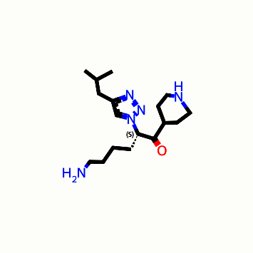 CC(C)Cc1cn([C@@H](CCCCN)C(=O)C2CCNCC2)nn1